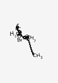 CCCCCCCCCCCCCCOc1ccc(CCN(C(C)=O)c2cccc(C[n+]3ccsc3)c2)cc1OC.[Br-]